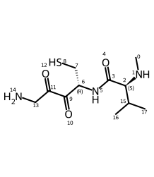 CN[C@H](C(=O)N[C@@H](CS)C(=O)C(=O)CN)C(C)C